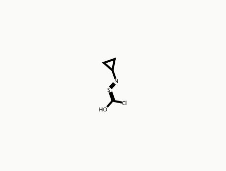 OC(Cl)=S=NC1CC1